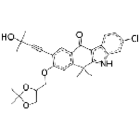 CC(C)(O)C#Cc1cc2c(cc1OCC1COC(C)(C)O1)C(C)(C)c1[nH]c3cc(Cl)ccc3c1C2=O